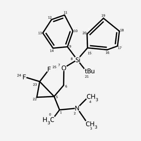 CC(N(C)C)C1(CO[Si](c2ccccc2)(c2ccccc2)C(C)(C)C)CC1(F)F